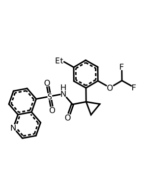 CCc1ccc(OC(F)F)c(C2(C(=O)NS(=O)(=O)c3cccc4ncccc34)CC2)c1